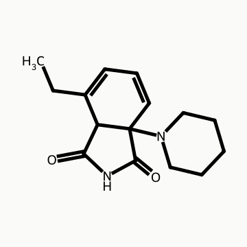 CCC1=CC=CC2(N3CCCCC3)C(=O)NC(=O)C12